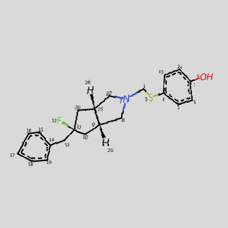 Oc1ccc(SCN2C[C@@H]3C[C@](F)(Cc4ccccc4)C[C@@H]3C2)cc1